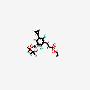 CCOC(=O)CCc1c(F)c(B2OC(C)(C)C(C)(C)O2)cc(C2CC2)c1F